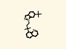 CC(C)(C)c1ccc2cnn(CCC(C)(C)c3cccc4cccnc34)c2c1